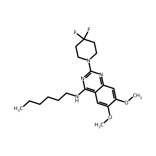 CCCCCCNc1nc(N2CCC(F)(F)CC2)nc2cc(OC)c(OC)cc12